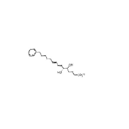 O=C(O)CCC[C@H](O)[C@H](O)/C=C/C=C/CCCCCc1ccccc1